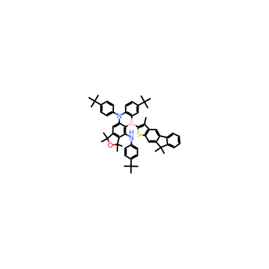 Cc1c(B2c3cc(C(C)(C)C)ccc3N(c3ccc(C(C)(C)C)cc3)c3cc4c(c(Nc5ccc(C(C)(C)C)cc5)c32)C(C)(C)OC4(C)C)sc2cc3c(cc12)-c1ccccc1C3(C)C